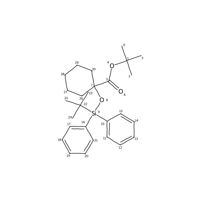 CC(C)(C)OC(=O)C1(O[Si](c2ccccc2)(c2ccccc2)C(C)(C)C)CCCCC1